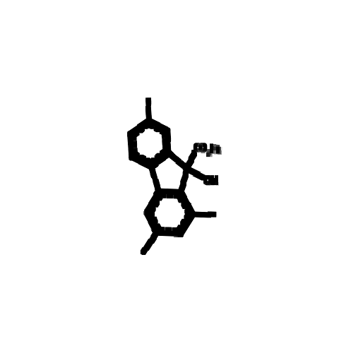 CCOC(=O)C1(O)c2cc(C)ccc2-c2cc(C)cc(C)c21